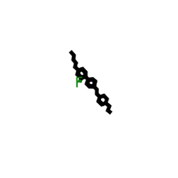 CCCCCc1ccc(-c2ccc(CCC3C=CC(CCC)CC3)cc2)c(F)c1